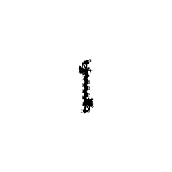 C=Cn1cc[n+](CCCCCCCC[n+]2ccn(C=C)c2)c1